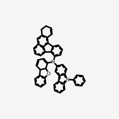 C1=CC2c3ccccc3OC2C(N(c2ccc3c(c2)c2ccccc2n3-c2ccccc2)c2cccc3c2-c2cccc4cc5c(c-3c24)C=CCC5)=C1